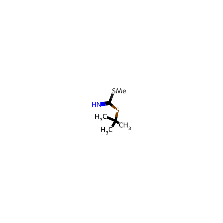 CSC(=N)SC(C)(C)C